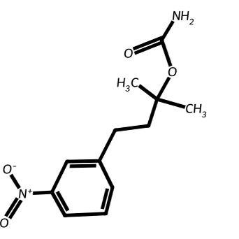 CC(C)(CCc1cccc([N+](=O)[O-])c1)OC(N)=O